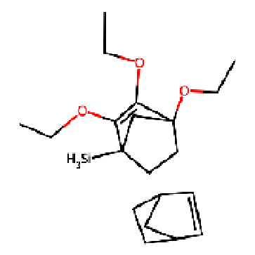 C1=CC2CCC1C2.CCOC1=C(OCC)C2(OCC)CCC1([SiH3])C2